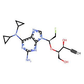 C#C[C@H](O)[C@@H](CO)O[C@H](CF)n1cnc2c(N(C3CC3)C3CC3)nc(N)nc21